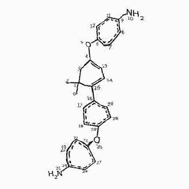 CC1(C)CC(Oc2ccc(N)cc2)=CC=C1c1ccc(Oc2ccc(N)cc2)cc1